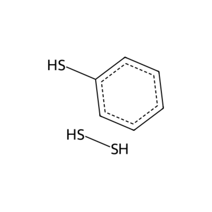 SS.Sc1ccccc1